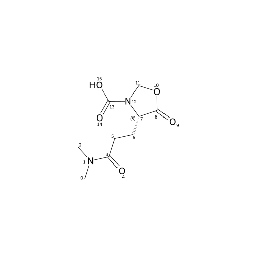 CN(C)C(=O)CC[C@H]1C(=O)OCN1C(=O)O